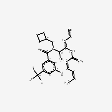 C=C(/N=C\C=C/N)N/C(=N\C=N)C(C)N(CC1CCC1)C(=O)c1cc(Cl)cc(C(F)(F)F)c1